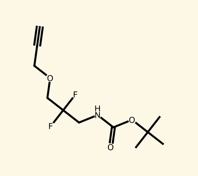 C#CCOCC(F)(F)CNC(=O)OC(C)(C)C